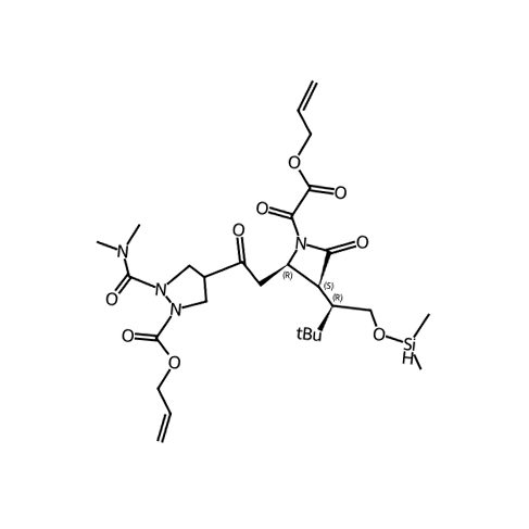 C=CCOC(=O)C(=O)N1C(=O)[C@@H]([C@@H](CO[SiH](C)C)C(C)(C)C)[C@H]1CC(=O)C1CN(C(=O)OCC=C)N(C(=O)N(C)C)C1